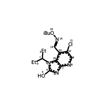 CCC(CC)n1c(O)nc2ncc(Cl)c(C=NOCC(C)C)c21